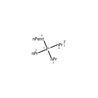 CCCCC[P+](CCC)(CCC)CCC.[I-]